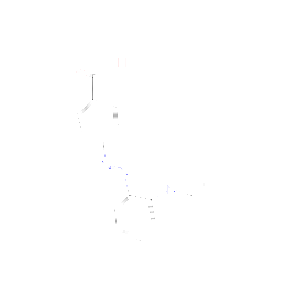 CCNc1ccccc1N=Nc1ccc(C(=O)O)cc1